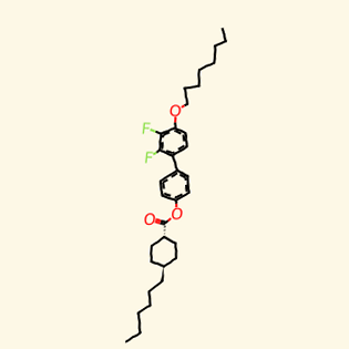 CCCCCCCCOc1ccc(-c2ccc(OC(=O)[C@H]3CC[C@H](CCCCCC)CC3)cc2)c(F)c1F